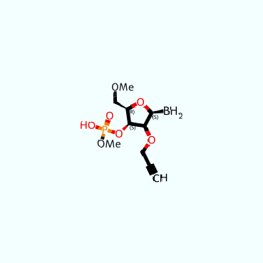 B[C@@H]1O[C@H](COC)[C@H](OP(=O)(O)OC)C1OCC#C